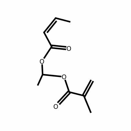 C=C(C)C(=O)OC(C)OC(=O)/C=C\C